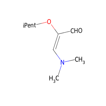 CCCC(C)OC(C=O)=CN(C)C